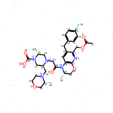 CC(=O)OCc1nc2c(cc1Cc1ccc(F)cc1)N(C(=O)CN1C[C@@H](C)N(C(=O)O)C[C@@H]1CN1CCOC[C@H]1C)[C@@H](C)CO2